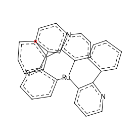 c1ccc(-c2nccc[c]2[Ru]([c]2cccnc2-c2ccccc2)[c]2cccnc2-c2ccccc2)cc1